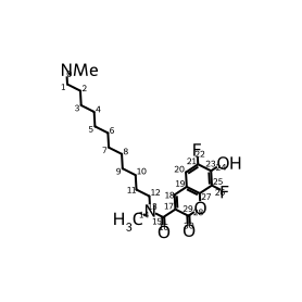 CNCCCCCCCCCCCCN(C)C(=O)c1cc2cc(F)c(O)c(F)c2oc1=O